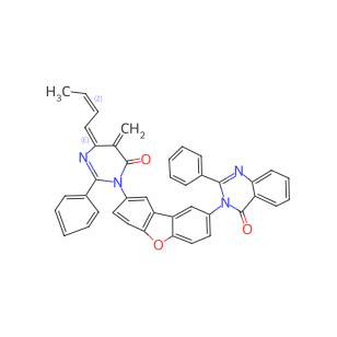 C=c1c(=O)n(-c2ccc3oc4ccc(-n5c(-c6ccccc6)nc6ccccc6c5=O)cc4c3c2)c(-c2ccccc2)n/c1=C/C=C\C